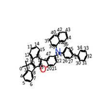 CC1(C)c2ccccc2-c2c1c1ccccc1c1c2oc2ccc(N(c3ccc(-c4ccccc4)cc3)c3cccc4ccccc34)cc21